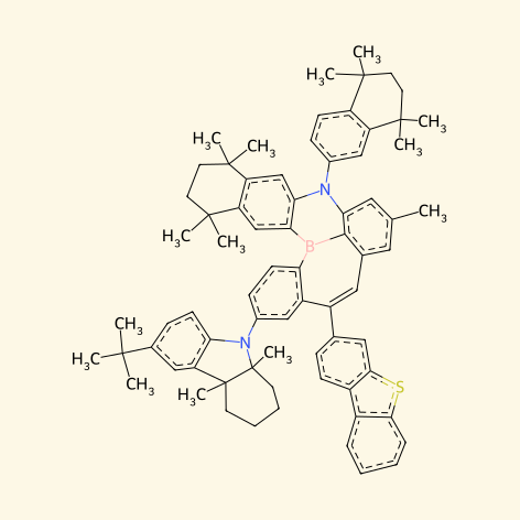 Cc1cc2c3c(c1)N(c1ccc4c(c1)C(C)(C)CCC4(C)C)c1cc4c(cc1B3c1ccc(N3c5ccc(C(C)(C)C)cc5C5(C)CCCCC35C)cc1C(c1ccc3c(c1)sc1ccccc13)=C2)C(C)(C)CCC4(C)C